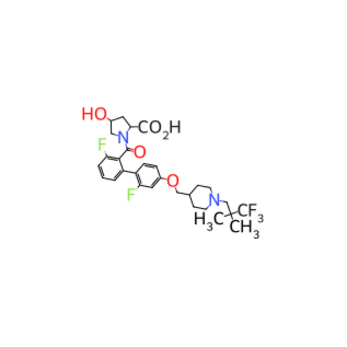 CC(C)(CN1CCC(COc2ccc(-c3cccc(F)c3C(=O)N3CC(O)CC3C(=O)O)c(F)c2)CC1)C(F)(F)F